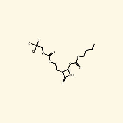 CCCCOC(=S)S[C@H]1NC(=O)[C@H]1CCOC(=O)OCC(Cl)(Cl)Cl